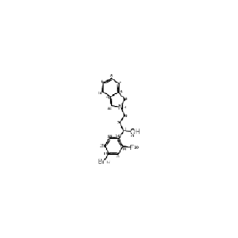 OC(CCN1CC2=CC=CCC2C1)c1ccc(Br)cc1F